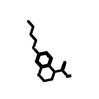 CCCCSc1ccc2c(c1)OCCC2C(=O)O